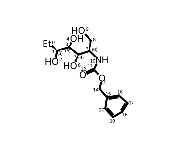 CC[C@H](O)[C@@H](O)[C@H](O)[C@@H](CO)NC(=O)OCc1ccccc1